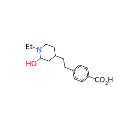 CCN1CCC(CCc2ccc(C(=O)O)cc2)CC1O